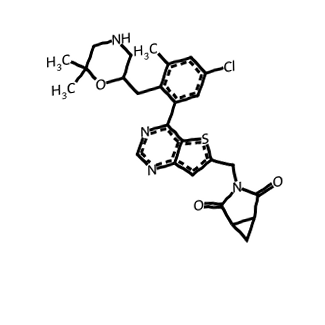 Cc1cc(Cl)cc(-c2ncnc3cc(CN4C(=O)C5CC5C4=O)sc23)c1CC1CNCC(C)(C)O1